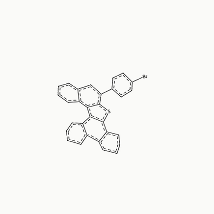 Brc1ccc(-c2cc3ccccc3c3c2sc2c4ccccc4c4ccccc4c23)cc1